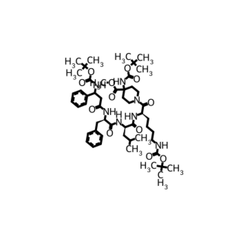 COC(=O)C1(NC(=O)OC(C)(C)C)CCN(C(=O)[C@@H](CCCCNC(=O)OC(C)(C)C)NC(=O)[C@@H](CC(C)C)NC(=O)[C@@H](Cc2ccccc2)NC(=O)CC(NC(=O)OC(C)(C)C)c2ccccc2)CC1